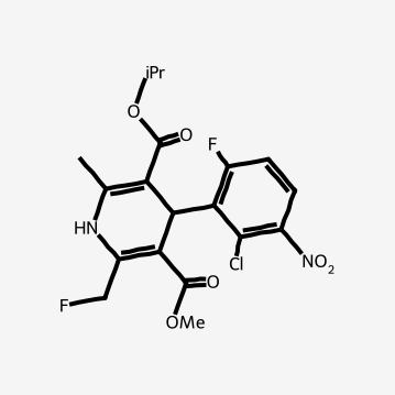 COC(=O)C1=C(CF)NC(C)=C(C(=O)OC(C)C)C1c1c(F)ccc([N+](=O)[O-])c1Cl